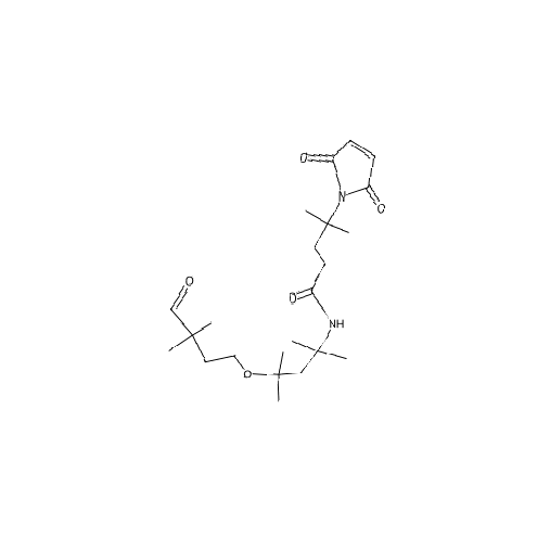 CC(C)(C=O)CCOC(C)(C)CC(C)(C)NC(=O)CCC(C)(C)N1C(=O)C=CC1=O